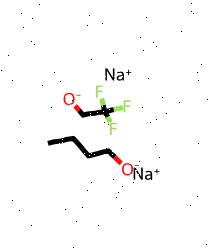 CCCC[O-].[Na+].[Na+].[O-]CC(F)(F)F